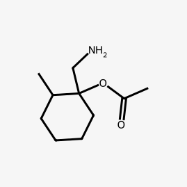 CC(=O)OC1(CN)CCCCC1C